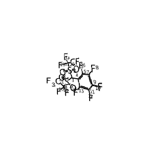 O=S(=O)(C(c1c(F)c(F)c(F)c(F)c1F)S(=O)(=O)C(F)(F)C(F)(F)F)C(F)(F)C(F)(F)F